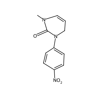 CN1C=CCN(c2ccc([N+](=O)[O-])cc2)C1=O